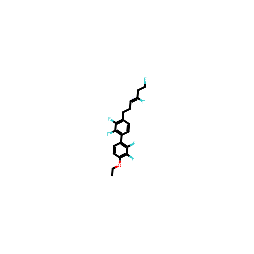 CCOc1ccc(-c2ccc(CC/C=C(\F)CCF)c(F)c2F)c(F)c1F